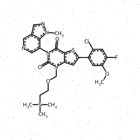 COc1cc(-c2cc3c(s2)c(=O)n(-c2cncc4cnn(C)c24)c(=O)n3COCC[Si](C)(C)C)c(Cl)cc1F